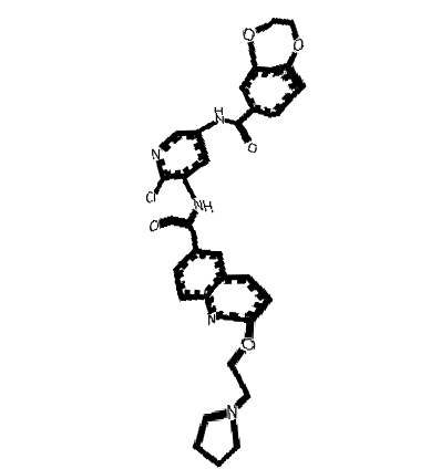 O=C(Nc1cnc(Cl)c(NC(=O)c2ccc3nc(OCCN4CCCC4)ccc3c2)c1)c1ccc2c(c1)OCCO2